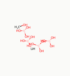 CO.OB(O)O.OB(O)O.OB(O)O.OB(O)O.[LiH]